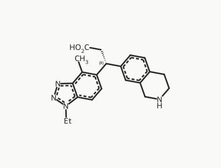 CCn1nnc2c(C)c([C@H](CC(=O)O)c3ccc4c(c3)CNCC4)ccc21